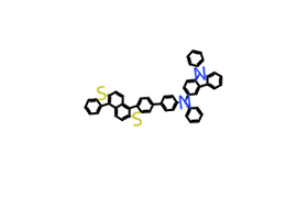 c1ccc(N(c2ccc(-c3ccc4c(c3)sc3ccc5c(ccc6sc7ccccc7c65)c34)cc2)c2ccc3c(c2)c2ccccc2n3-c2ccccc2)cc1